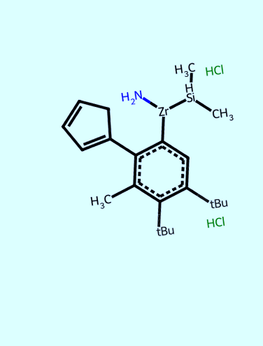 Cc1c(C2=CC=CC2)[c]([Zr]([NH2])[SiH](C)C)cc(C(C)(C)C)c1C(C)(C)C.Cl.Cl